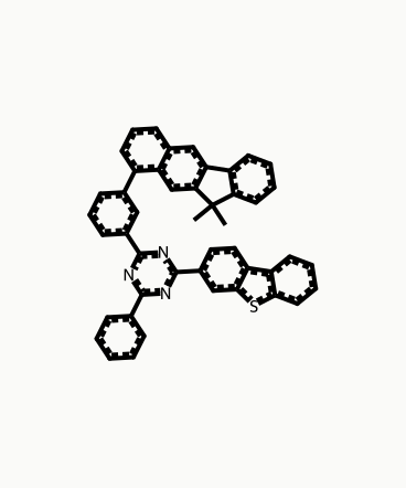 CC1(C)c2ccccc2-c2cc3cccc(-c4cccc(-c5nc(-c6ccccc6)nc(-c6ccc7c(c6)sc6ccccc67)n5)c4)c3cc21